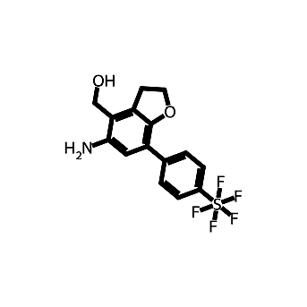 Nc1cc(-c2ccc(S(F)(F)(F)(F)F)cc2)c2c(c1CO)CCO2